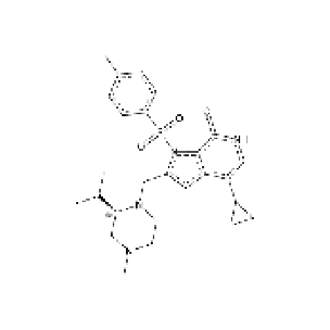 Cc1ccc(S(=O)(=O)n2c(CN3CCN(C)C[C@H]3C(C)C)cc3c(C4CC4)c[nH]c(=O)c32)cc1